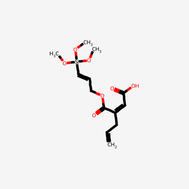 C=CCC(=CC(=O)O)C(=O)OCC=C[Si](OC)(OC)OC